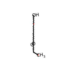 CCCCCC/C=C\CCCCCCCC(=O)OCCCCCCCCCCCCCCCCCCCCCCCCCCCCCCCO